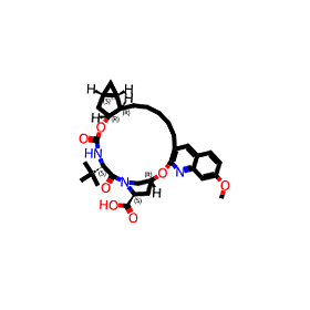 COc1ccc2cc3c(nc2c1)O[C@@H]1C[C@@H](C(=O)O)N(C1)C(=O)[C@H](C(C)(C)C)NC(=O)O[C@@H]1C[C@@H]2C[C@@H]2[C@H]1CCCCC3